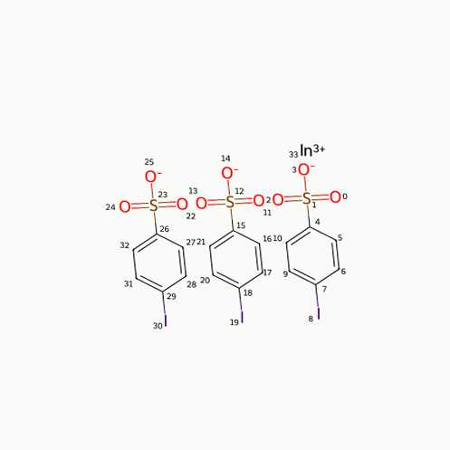 O=S(=O)([O-])c1ccc(I)cc1.O=S(=O)([O-])c1ccc(I)cc1.O=S(=O)([O-])c1ccc(I)cc1.[In+3]